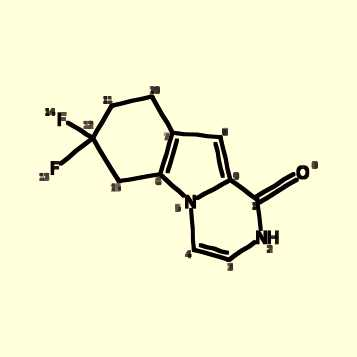 O=c1[nH]ccn2c3c(cc12)CCC(F)(F)C3